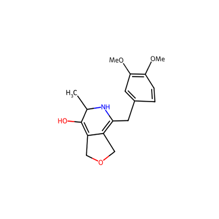 COc1ccc(CC2=C3COCC3=C(O)C(C)N2)cc1OC